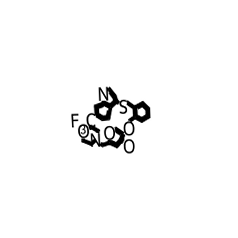 O=c1cc(CN2CCOCC2)occ1OCc1ccccc1CSc1ccnc2cc(C(F)(F)F)ccc12